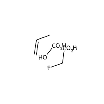 C=CC.O=C(O)CF.O=C(O)O